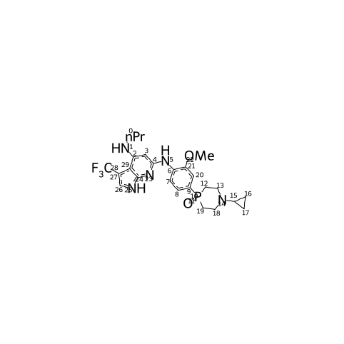 CCCNc1cc(Nc2ccc(P3(=O)CCN(C4CC4)CC3)cc2OC)nc2[nH]cc(C(F)(F)F)c12